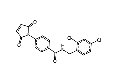 O=C(NCc1ccc(Cl)cc1Cl)c1ccc(N2C(=O)C=CC2=O)cc1